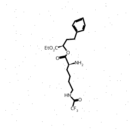 CCOC(=O)[C@@H](CCc1ccccc1)OC(=O)[C@@H](N)CCCCNC(=O)C(F)(F)F